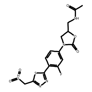 CC(=O)NCC1CN(c2ccc(-c3nnc(C[SH](=O)=O)s3)c(F)c2)C(=O)O1